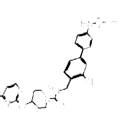 CS(=O)(=O)Nc1ccc(-c2ccc(CNC(=O)N3CCC(Oc4ncccn4)CC3)c(Cl)c2)cc1